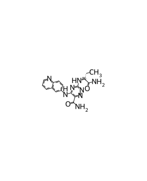 CC[C@@H](Nc1nnc(C(N)=O)c(Nc2ccc3ncccc3c2)n1)C(N)=O